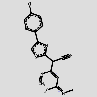 C=N/C(=C\C(C)=N/I)C(C#N)c1nc(-c2ccc(Cl)cc2)cs1